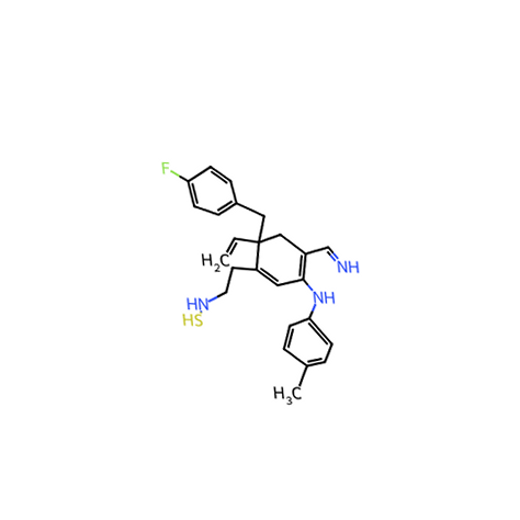 C=CC1(Cc2ccc(F)cc2)CC(C=N)=C(Nc2ccc(C)cc2)C=C1CCNS